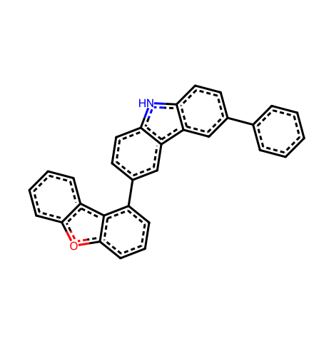 c1ccc(-c2ccc3[nH]c4ccc(-c5cccc6oc7ccccc7c56)cc4c3c2)cc1